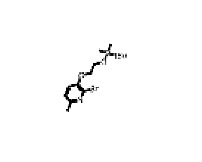 Cc1ccc(OCCO[Si](C)(C)C(C)(C)C)c(Br)n1